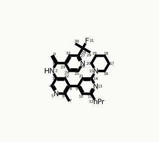 C=C(Nc1cnc(C)c(-c2cc(CCC)nc(N3CCCCC3)c2)c1)c1ccnc(C(C)(C)F)c1